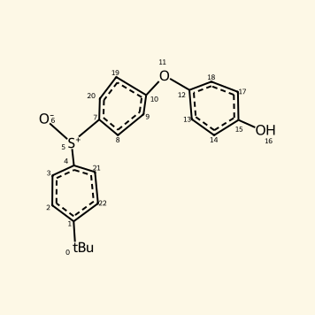 CC(C)(C)c1ccc([S+]([O-])c2ccc(Oc3ccc(O)cc3)cc2)cc1